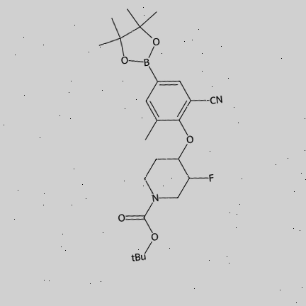 Cc1cc(B2OC(C)(C)C(C)(C)O2)cc(C#N)c1OC1CCN(C(=O)OC(C)(C)C)CC1F